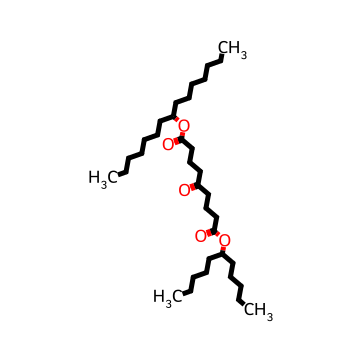 CCCCCCCC(CCCCCCC)OC(=O)CCCC(=O)CCCC(=O)OC(CCCCC)CCCCC